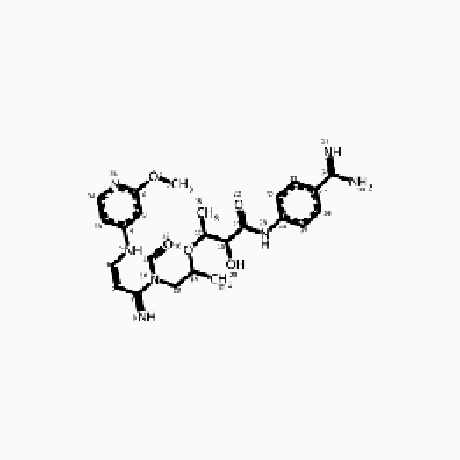 COc1cc(N/C=C\C(=N)N(C=O)CC(C)OC(C)C(O)C(=O)Nc2ccc(C(=N)N)cc2)ccn1